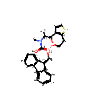 CC(C)[C@@H](C1OCCc2sccc21)N(C)C(=O)OCC1c2ccccc2-c2ccccc21